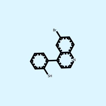 Sc1ccccc1-c1ccnc2ccc(Br)cc12